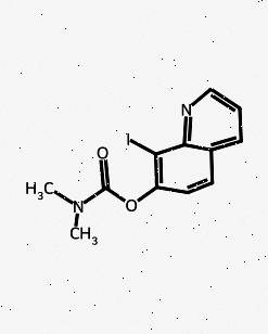 CN(C)C(=O)Oc1ccc2cccnc2c1I